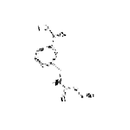 CCCCOC(=O)NCc1cccc(B(O)O)c1